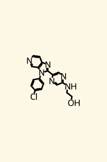 OCCNc1cnc(-c2nc3ccncc3n2-c2ccc(Cl)cc2)cn1